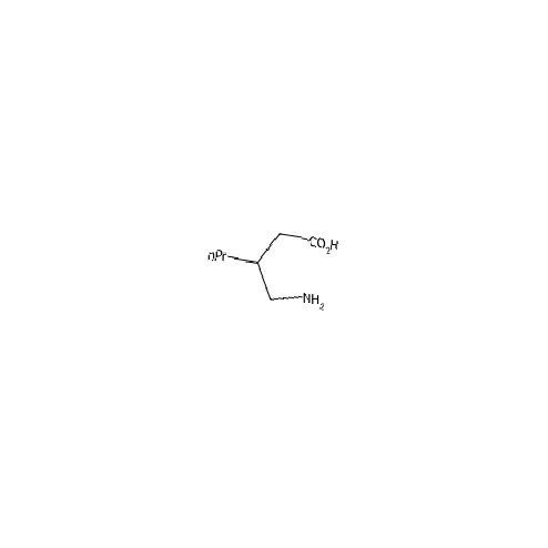 CCCC(CN)CC(=O)O